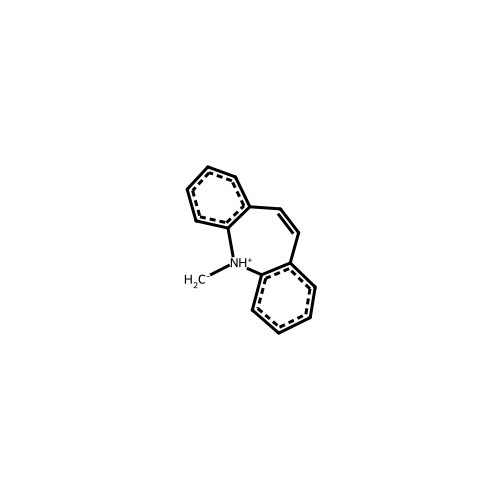 [CH2-][NH+]1c2ccccc2C=Cc2ccccc21